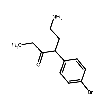 CCC(=O)C(CCN)c1ccc(Br)cc1